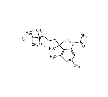 Cc1cc(C)c(C(C)(C)CCO[Si](C)(C)C(C)(C)C)c(OC(N)=O)c1